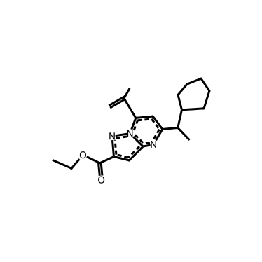 C=C(C)c1cc(C(C)C2CCCCC2)nc2cc(C(=O)OCC)nn12